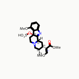 CC[C@@H]1CN2CC[C@@]3(OS(=O)(=O)O)C(=Nc4cccc(OC)c43)[C@@H]2C[C@@H]1/C(=C\OC)C(=O)OC